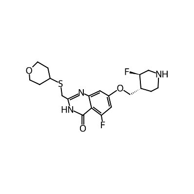 O=c1[nH]c(CSC2CCOCC2)nc2cc(OC[C@H]3CCNC[C@@H]3F)cc(F)c12